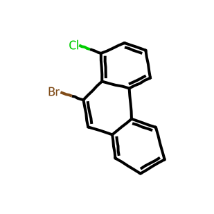 Clc1cccc2c1c(Br)cc1ccccc12